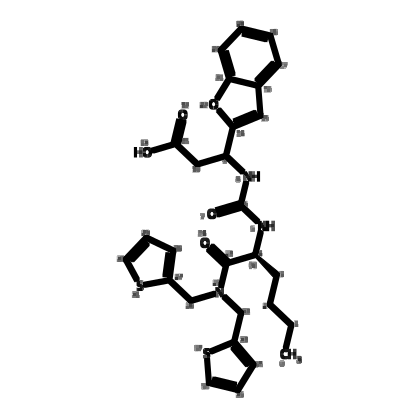 CCCC[C@H](NC(=O)NC(CC(=O)O)c1cc2ccccc2o1)C(=O)N(Cc1cccs1)Cc1cccs1